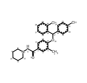 Cc1cc(C(=O)NN2CCCCC2)ccc1OC(c1ccc(Cl)cc1)c1ccccc1Cl